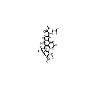 CCC(=O)N(CCN(C)C)c1ccc(N/C(=C2\C(=O)Nc3cc(OC)c(OC)cc32)c2ccccc2)cc1